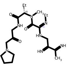 CC/N=C(/NCC(=N)C(C)=N)C(=O)N(C)[C@@H](CC)C(=O)NCC(=O)CN1CCCC1